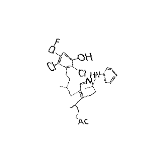 CC(=O)CCC(C)/C1=C(CC(C)CCc2c(Cl)c(O)cc(OF)c2Cl)/C=N\C(Nc2ccccc2)=C(/C)CC1